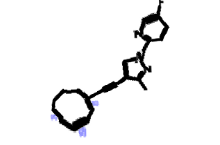 Cc1nn(-c2ccc(F)cn2)cc1C#C/C1=C/C=C\C=C/CCC1